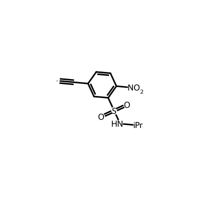 [C]#Cc1ccc([N+](=O)[O-])c(S(=O)(=O)NC(C)C)c1